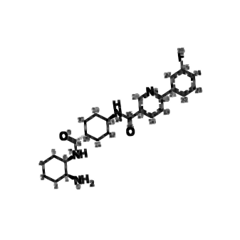 N[C@H]1CCCC[C@H]1NC(=O)[C@H]1CC[C@H](NC(=O)c2ccc(-c3cccc(F)c3)nc2)CC1